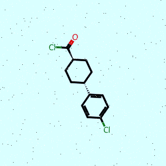 O=C(Cl)[C@H]1CC[C@H](c2ccc(Cl)cc2)CC1